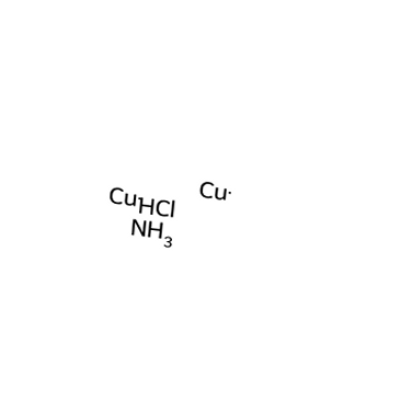 Cl.N.[Cu].[Cu]